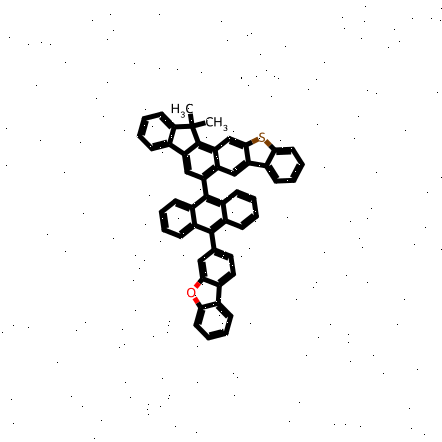 CC1(C)c2ccccc2-c2cc(-c3c4ccccc4c(-c4ccc5c(c4)oc4ccccc45)c4ccccc34)c3cc4c(cc3c21)sc1ccccc14